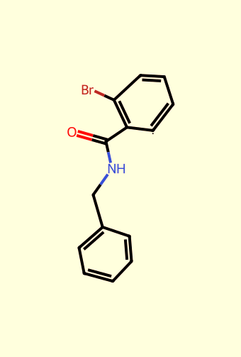 O=C(NCc1ccccc1)c1[c]cccc1Br